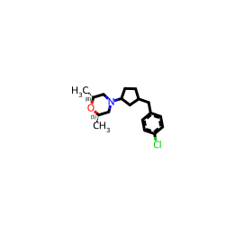 C[C@@H]1CN(C2CCC(Cc3ccc(Cl)cc3)C2)C[C@H](C)O1